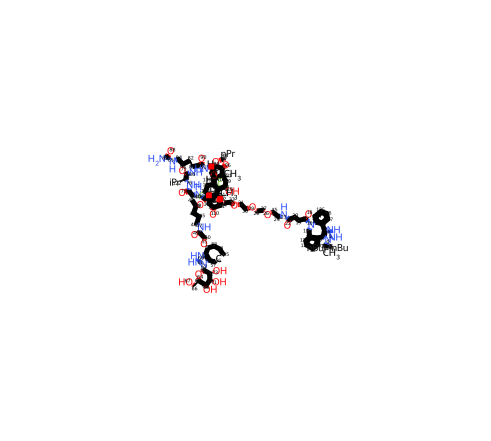 CCCCC(C)(CCCC)N1NNC2=C1c1ccccc1CN(C(=O)CCC(=O)NCCOCCOCCOCCOCCC(=O)N[C@H](CCCCCNC(=O)COC1CCCCCC3=C1NNN3[C@@H]1O[C@H](CO)[C@H](O)[C@H](O)[C@H]1O)C(=O)N[C@H](C(=O)N[C@@H](CCCNC(N)=O)C(=O)NCC(=O)[C@@]13OC(CCC)O[C@@H]1C[C@H]1[C@@H]4C[C@H](F)C5=CC(=O)C=C[C@]5(C)[C@@]4(F)[C@@H](O)C[C@@]13C)C(C)C)c1ccccc12